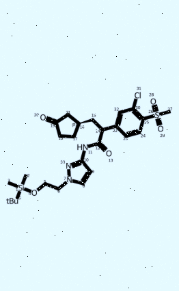 CC(C)(C)[Si](C)(C)OCCn1ccc(NC(=O)C(C[C@H]2CCC(=O)C2)c2ccc(S(C)(=O)=O)c(Cl)c2)n1